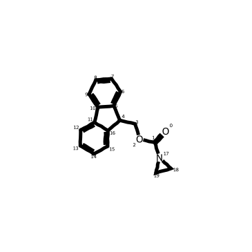 O=C(OCC1c2ccccc2-c2ccccc21)N1CC1